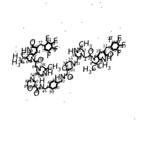 C[C@@H]1CN(CC(=O)N2CC(C)(C)c3[nH]c(=O)c(Cc4cc(F)c(F)c(F)c4F)cc32)[C@@H](CN2CCO[C@H](C(=O)NCc3ccc(CNC(=O)[C@@H]4CN(C[C@H]5CN[C@H](C)CN5CC(=O)N5CC(C)(C)c6[nH]c(=O)c(Cc7cc(F)c(F)c(F)c7F)cc65)CCO4)cc3)C2)CN1